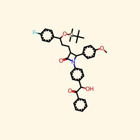 COc1ccc(C2C(CCC(O[Si](C)(C)C(C)(C)C)c3ccc(F)cc3)C(=O)N2c2ccc(C(O)C(=O)c3ccccc3)cc2)cc1